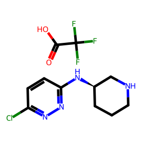 Clc1ccc(N[C@@H]2CCCNC2)nn1.O=C(O)C(F)(F)F